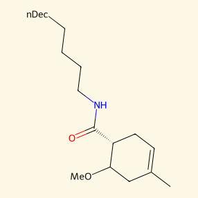 CCCCCCCCCCCCCCNC(=O)[C@@H]1CC=C(C)CC1OC